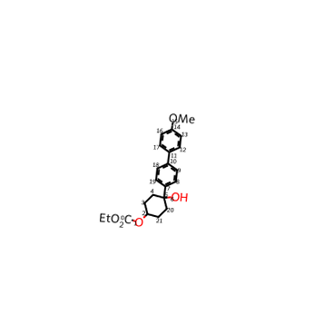 CCOC(=O)OC1CCC(O)(c2ccc(-c3ccc(OC)cc3)cc2)CC1